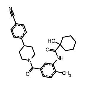 Cc1ccc(C(=O)N2CCC(c3ccc(C#N)cc3)CC2)cc1NC(=O)C1(O)CCCCC1